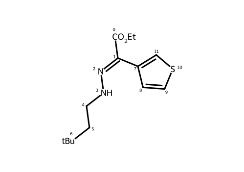 CCOC(=O)/C(=N/NCCC(C)(C)C)c1ccsc1